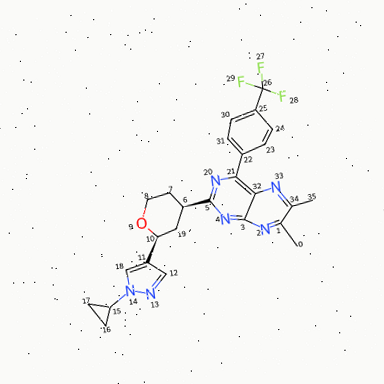 Cc1nc2nc([C@@H]3CCO[C@H](c4cnn(C5CC5)c4)C3)nc(-c3ccc(C(F)(F)F)cc3)c2nc1C